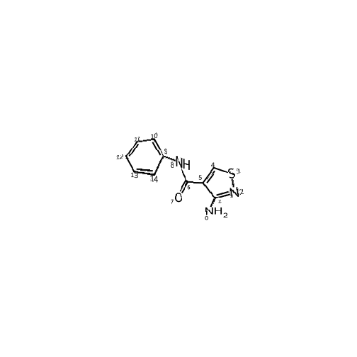 Nc1nscc1C(=O)Nc1ccccc1